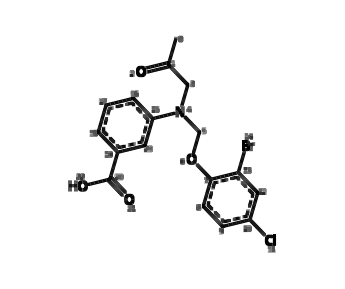 CC(=O)CN(COc1ccc(Cl)cc1Br)c1cccc(C(=O)O)c1